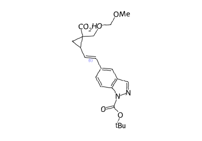 COCOCC1(C(=O)O)CC1/C=C/c1ccc2c(cnn2C(=O)OC(C)(C)C)c1